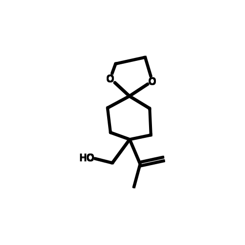 C=C(C)C1(CO)CCC2(CC1)OCCO2